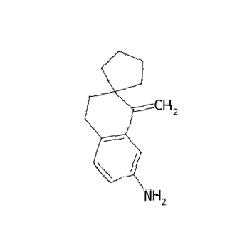 C=C1c2cc(N)ccc2CCC12CCCC2